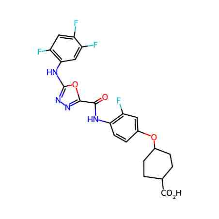 O=C(Nc1ccc(OC2CCC(C(=O)O)CC2)cc1F)c1nnc(Nc2cc(F)c(F)cc2F)o1